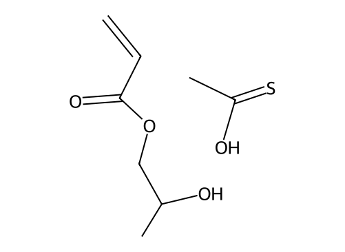 C=CC(=O)OCC(C)O.CC(O)=S